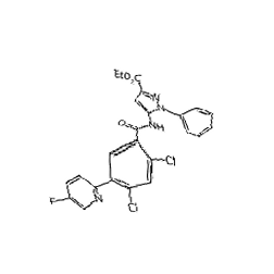 CCOC(=O)c1cc(NC(=O)c2cc(-c3ccc(F)cn3)c(Cl)cc2Cl)n(-c2ccccc2)n1